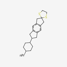 CCCC1CCC(C2Cc3cc4c(cc3C2)CC2(C4)SCCS2)CC1